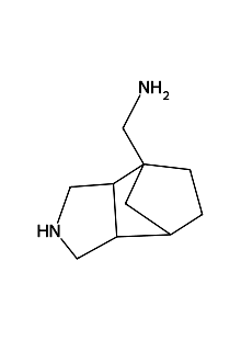 NCC12CCC(C1)C1CNCC12